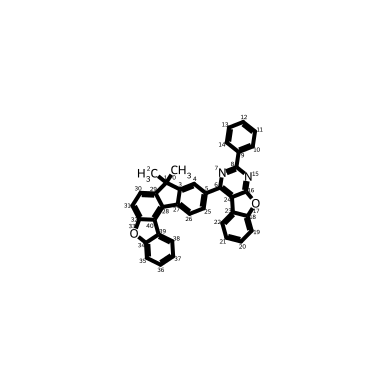 CC1(C)c2cc(-c3nc(-c4ccccc4)nc4oc5ccccc5c34)ccc2-c2c1ccc1oc3ccccc3c21